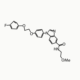 COCCNC(=O)c1ccc2c(c1)ncn2-c1ccc(OCCOc2ccc(F)cc2)cc1